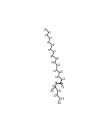 CCCCCCCCCCCCCCCCC(C)CC(C)CCCC